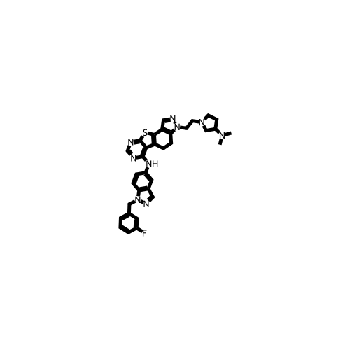 CN(C)C1CCN(CCn2ncc3c2CCc2c-3sc3ncnc(Nc4ccc5c(cnn5Cc5cccc(F)c5)c4)c23)C1